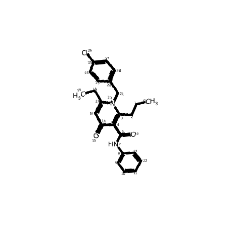 CCCc1c(C(=O)Nc2ccccc2)c(=O)cc(CC)n1Cc1ccc(Cl)cc1